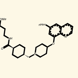 CCCCCCc1cc(OC2CCN(C[C@H]3CC[C@H](C(=O)NCCCOC)CC3)CC2)c2ncccc2c1